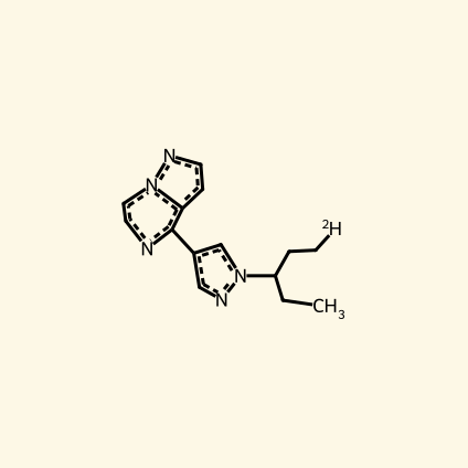 [2H]CCC(CC)n1cc(-c2nccn3nccc23)cn1